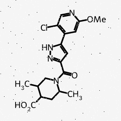 COc1cc(-c2cc(C(=O)N3CC(C)C(C(=O)O)CC3C)n[nH]2)c(Cl)cn1